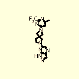 Cc1cc(N2CC3(CCN(c4cnc5cn[nH]c5n4)C3)C2)nc(C(F)(F)F)n1